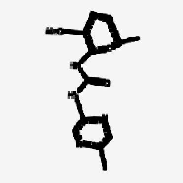 COc1ccc(C)cc1NC(=O)Nc1cnc(C)cn1